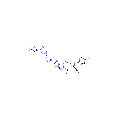 CCc1nc2sc(N3CCC(N(C)CC(=O)N4CC(F)(F)C4)C3)nn2c1N(C)c1nc(-c2ccc(F)cc2)c(C#N)s1